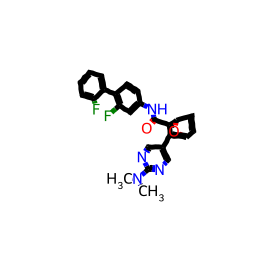 CN(C)c1ncc(-c2c(C(=O)Nc3ccc(-c4ccccc4F)c(F)c3)c3ccc2o3)cn1